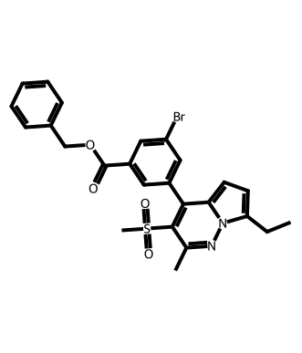 CCc1ccc2c(-c3cc(Br)cc(C(=O)OCc4ccccc4)c3)c(S(C)(=O)=O)c(C)nn12